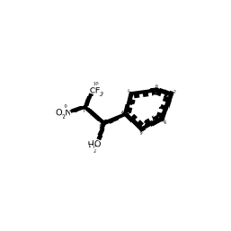 O=[N+]([O-])C(C(O)c1ccccc1)C(F)(F)F